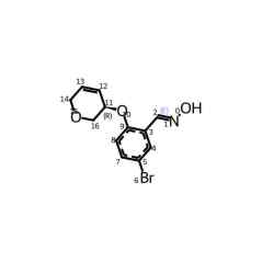 O/N=C/c1cc(Br)ccc1O[C@@H]1C=CCOC1